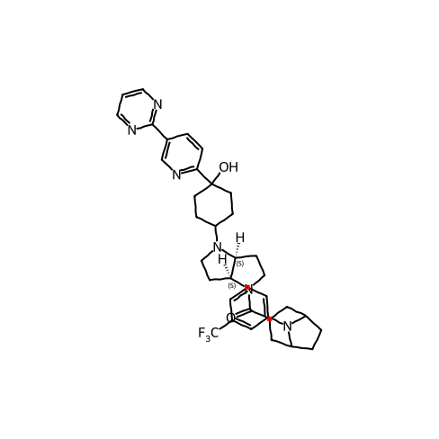 O=C(C1CC2CCC(C1)N2c1cccc(C(F)(F)F)c1)N1CC[C@H]2[C@@H]1CCN2C1CCC(O)(c2ccc(-c3ncccn3)cn2)CC1